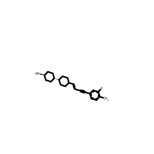 CCC[C@H]1CC[C@H](C2CCC(/C=C/C#Cc3ccc(C(F)(F)F)c(F)c3)CC2)CC1